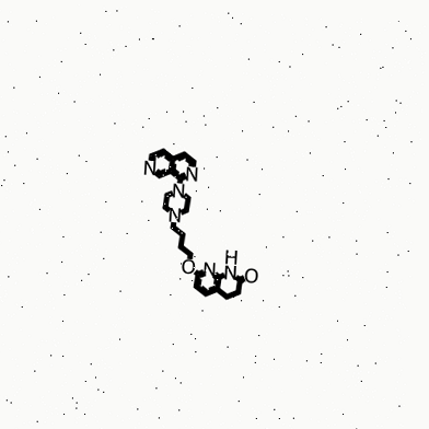 O=C1CCc2ccc(OCCCCN3CCN(c4nccc5ccncc45)CC3)nc2N1